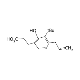 C=CCc1ccc(CCC(=O)O)c(O)c1C(C)(C)C